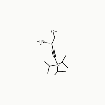 CC(C)[Si](C#C[C@H](N)CO)(C(C)C)C(C)C